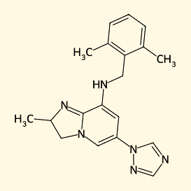 Cc1cccc(C)c1CNC1=CC(n2cncn2)=CN2CC(C)N=C12